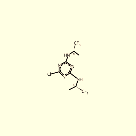 C[C@H](Nc1nc(Cl)nc(N[C@@H](C)C(F)(F)F)n1)C(F)(F)F